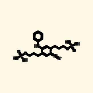 [N-]=[N+]=C1C=C(CCCOP(=O)(O)O)C(Nc2ccccc2)=CC1CCCOP(=O)(O)O